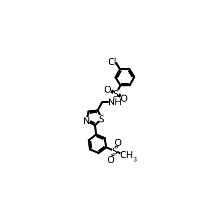 CS(=O)(=O)c1cccc(-c2ncc(CNS(=O)(=O)c3cccc(Cl)c3)s2)c1